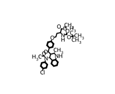 COC(=O)C(CCOc1ccc(C(=O)C2[C@H](C)Nc3ccccc3[C@@H]2N(C(C)=O)c2ccc(Cl)cc2)cc1)NC(=O)OC(C)(C)C